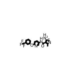 Cc1nsc(N)c1C(=O)Nc1ccc(Oc2cccc(C(F)(F)F)c2)nc1